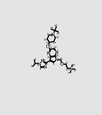 CC(C)n1cnc(-c2cn(COCC[Si](C)(C)C)c3ncc(OC4CCN(C(C)(C)C)CC4)nc23)n1